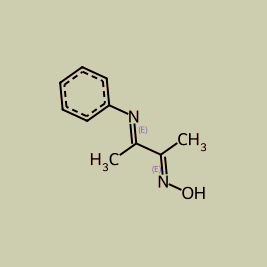 CC(=N\O)/C(C)=N/c1ccccc1